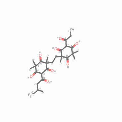 CC(C)CC(=O)C1C(=O)C(C)(C)C(=O)C(C)(CCC2(C)C(=O)C(C(=O)CC(C)C(F)(F)F)C(=O)C(C)(C)C2=O)C1=O